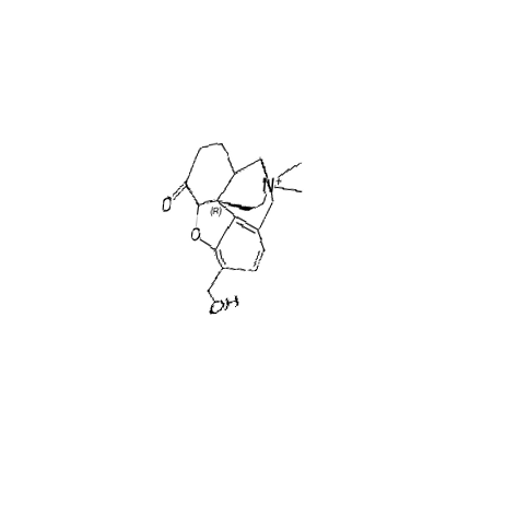 C[N+]1(C)CC[C@@]23c4c5ccc(CO)c4OC2C(=O)CCC3C1C5